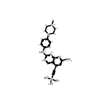 CC(C)[Si](C#Cc1cc(N)nc2nc(Nc3ccc(N4CCN(C)CC4)cc3)ncc12)(C(C)C)C(C)C